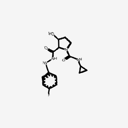 O=C(NNc1ccc(F)cc1)C1C(O)CCN1C(=O)NC1CC1